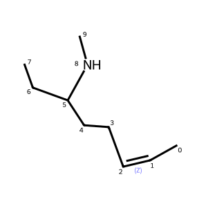 C/C=C\CCC(CC)NC